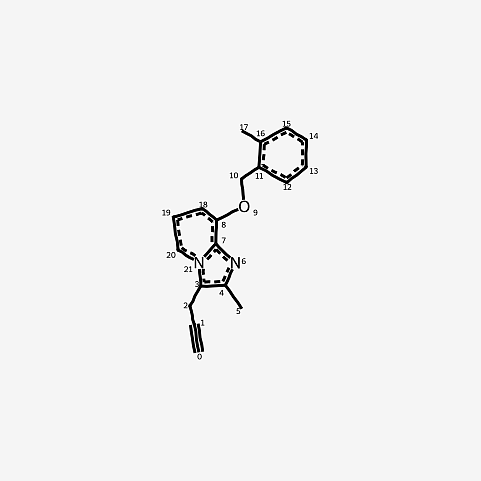 C#CCc1c(C)nc2c(OCc3ccccc3C)cccn12